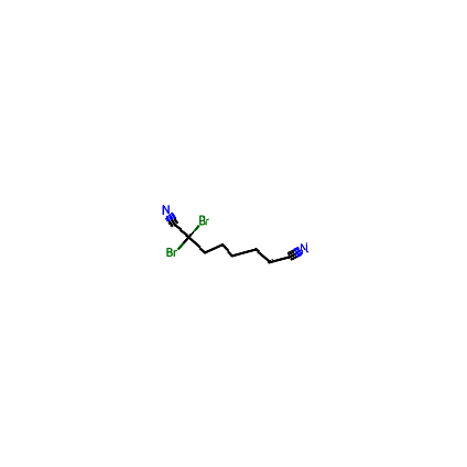 N#CCCCCCC(Br)(Br)C#N